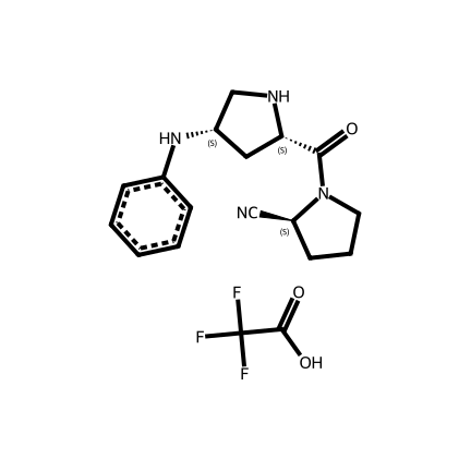 N#C[C@@H]1CCCN1C(=O)[C@@H]1C[C@H](Nc2ccccc2)CN1.O=C(O)C(F)(F)F